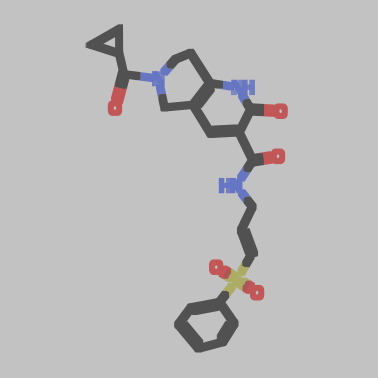 O=C(NC/C=C/S(=O)(=O)c1ccccc1)c1cc2c([nH]c1=O)CCN(C(=O)C1CC1)C2